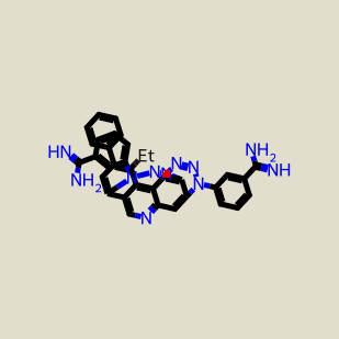 CCc1c(-c2ccccc2)cc2c3cnc4cc5c(nnn2-c2cccc(C(=N)N)c2)c(c4c13)N=NN5c1cccc(C(=N)N)c1